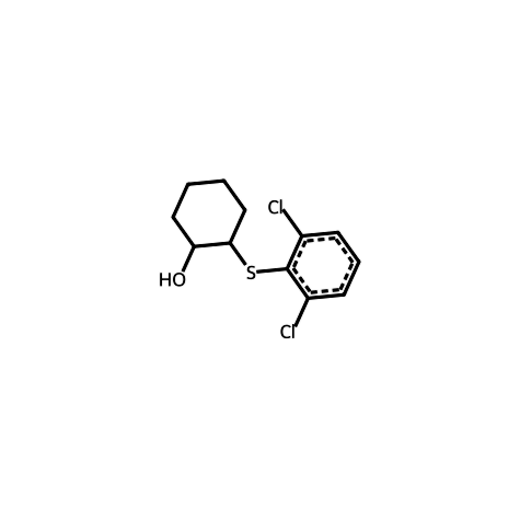 OC1CCCCC1Sc1c(Cl)cccc1Cl